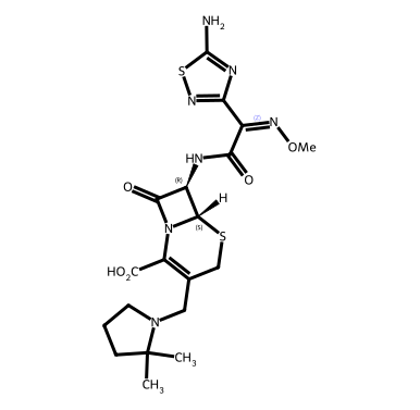 CO/N=C(\C(=O)N[C@@H]1C(=O)N2C(C(=O)O)=C(CN3CCCC3(C)C)CS[C@@H]12)c1nsc(N)n1